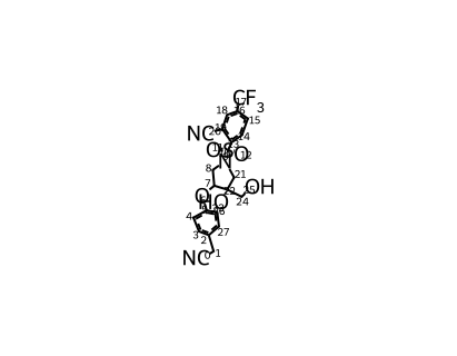 N#CCc1ccc(OC2CN(S(=O)(=O)c3ccc(C(F)(F)F)cc3C#N)C[C@@]2(O)CO)cc1